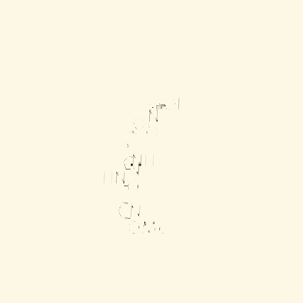 COc1ccc(CC(=O)Nc2cc([C@@H]3CC[C@H](OC(=O)N4C[C@@](C)(O)[C@@H]4C)C3)[nH]n2)cn1